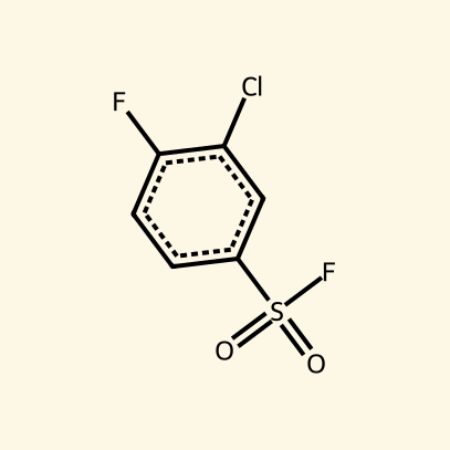 O=S(=O)(F)c1ccc(F)c(Cl)c1